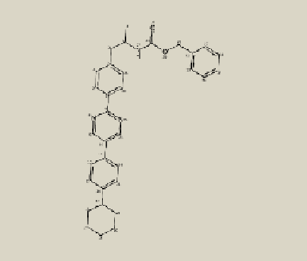 CC(Cc1ccc(-c2ncc(-c3ccc(C4CCCCC4)cc3)cn2)cc1)NC(=O)OCc1ccccc1